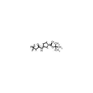 CC(C)(C)OC(=O)N1CCC(NC(=O)CC(F)(F)F)C1